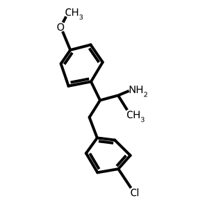 COc1ccc(C(Cc2ccc(Cl)cc2)C(C)N)cc1